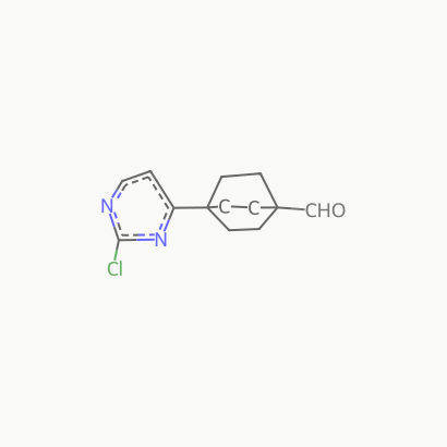 O=CC12CCC(c3ccnc(Cl)n3)(CC1)CC2